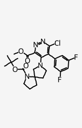 COC(=O)c1nnc(Cl)c(-c2cc(F)cc(F)c2)c1N1CCC2(CCCN2C(=O)OC(C)(C)C)C1